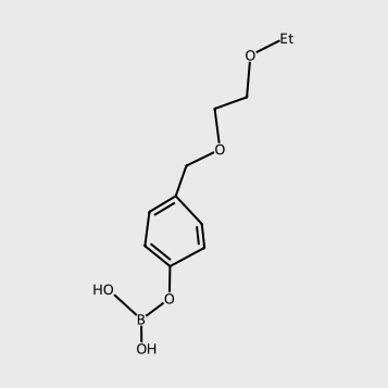 CCOCCOCc1ccc(OB(O)O)cc1